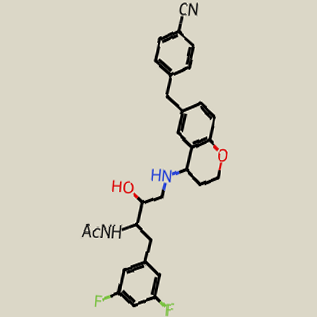 CC(=O)NC(Cc1cc(F)cc(F)c1)C(O)CNC1CCOc2ccc(Cc3ccc(C#N)cc3)cc21